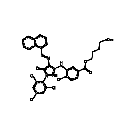 CCCCCCCCCCCCCCOC(=O)c1ccc(Cl)c(Nc2[nH]n(-c3c(Cl)cc(Cl)cc3Cl)c(=O)c2N=Nc2cccc3ccccc23)c1